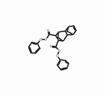 O=C(OOc1ccccc1)C1C2CC(C1C(=O)OOc1ccccc1)C1C3C=CC(C3)C21